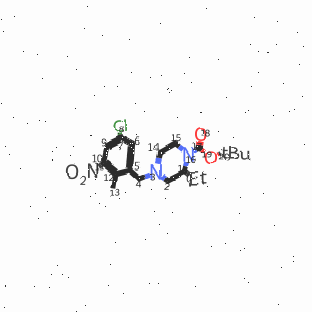 CCC1CN(Cc2cc(Cl)cc([N+](=O)[O-])c2C)CCN1C(=O)OC(C)(C)C